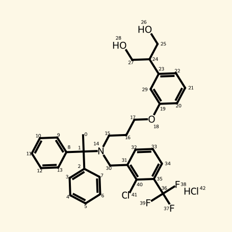 CC(c1ccccc1)(c1ccccc1)N(CCCOc1cccc(C(CO)CO)c1)Cc1cccc(C(F)(F)F)c1Cl.Cl